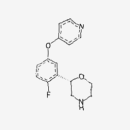 Fc1ccc(Oc2ccncc2)cc1[C@H]1CNCCO1